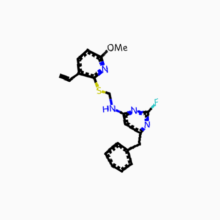 C=Cc1ccc(OC)nc1SCNc1cc(Cc2ccccc2)nc(F)n1